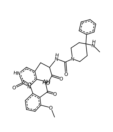 CNC1(c2ccccc2)CCN(C(=O)NC(Cc2c[nH]c(=O)nc2NC(=O)c2c(OC)cccc2OC)C(=O)O)CC1